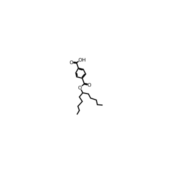 CCCCCC(CCCCC)OC(=O)c1ccc(C(=O)O)cc1